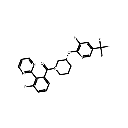 O=C(c1cccc(F)c1-c1ncccn1)N1CCC[C@@H](Oc2ncc(C(F)(F)F)cc2F)C1